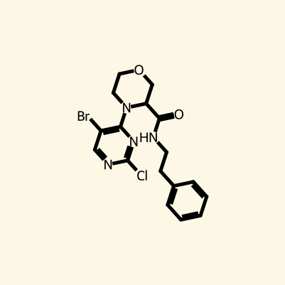 O=C(NCCc1ccccc1)C1COCCN1c1nc(Cl)ncc1Br